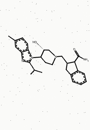 Cc1ccc2c(c1)nc(C(C)C)n2C1CCN(CC2Cc3c[c]ccc3C2C(N)=O)C[C@H]1O